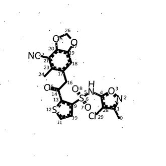 Cc1noc(NS(=O)(=O)c2ccsc2C(=O)Cc2cc3c(c(C#N)c2C)OCO3)c1Cl